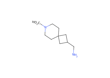 NCC1CC2(CCN(C(=O)O)CC2)C1